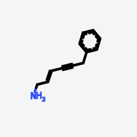 NCC=CC#CCc1ccccc1